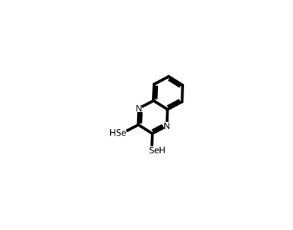 [SeH]c1nc2ccccc2nc1[SeH]